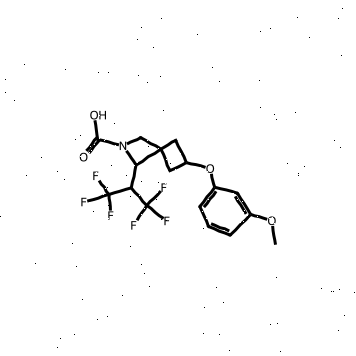 COc1cccc(OC2CC3(C2)CN(C(=O)O)C3C(C(F)(F)F)C(F)(F)F)c1